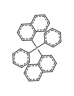 c1ccc([P](c2ccccc2)(c2cccc3ccccc23)c2cccc3ccccc23)cc1